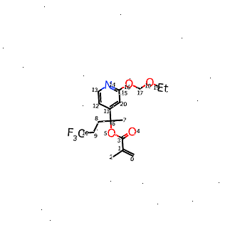 C=C(C)C(=O)OC(C)(CCC(F)(F)F)c1ccnc(OCOCC)c1